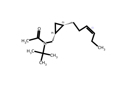 CC/C=C\CC[C@H]1C[C@H]1CN(C(C)=O)C(C)(C)C